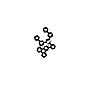 CC1C=C(c2ccccc2C2=NC(c3cccc(-c4ccccc4)c3)=CC(c3cccc(-c4ccccc4)c3)N2)C=C2c3ccccc3-c3ccccc3C21